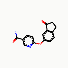 NC(=O)c1ccc(Oc2ccc3c(c2)C(=O)CC3)nc1